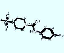 [CH2]S(=O)(=O)N1CCN(C(=O)Nc2ccc(F)cc2)CC1